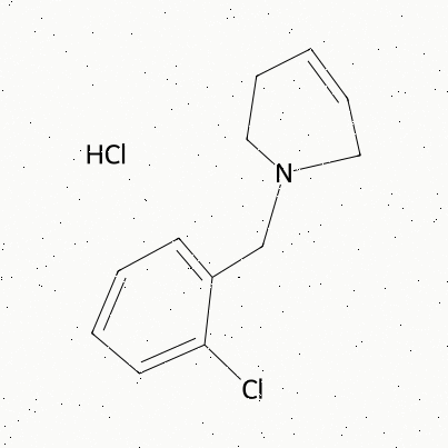 Cl.Clc1ccccc1CN1CC=CCC1